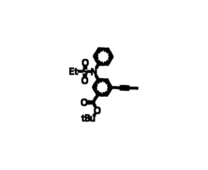 CC#Cc1cc(C(=O)OC(C)(C)C)cc(N(c2ccccc2)S(=O)(=O)CC)c1